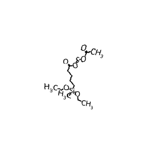 CCO[Si](C)(CCCCC(=O)OSOC(C)=O)OCC